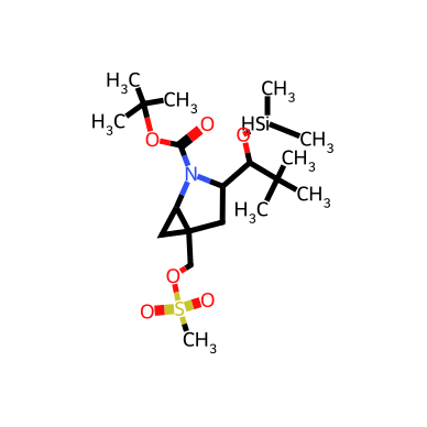 C[SiH](C)OC(C1CC2(COS(C)(=O)=O)CC2N1C(=O)OC(C)(C)C)C(C)(C)C